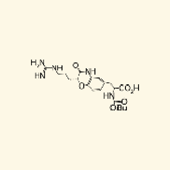 CC(C)COC(=O)N[C@@H](Cc1ccc2c(c1)NC(=O)[C@@H](CCCNC(=N)N)O2)C(=O)O